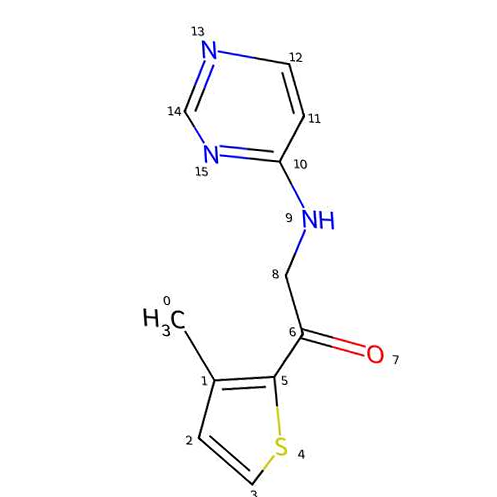 Cc1ccsc1C(=O)CNc1ccncn1